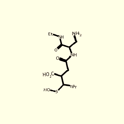 CCCC(SO)C(CC(=O)NC(CN)C(=O)NCC)C(=O)O